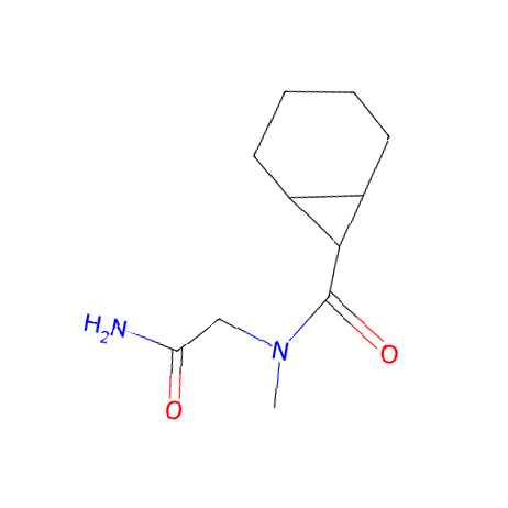 CN(CC(N)=O)C(=O)C1C2CCCCC21